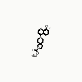 CC(C)(C)OC(=O)N1CCC2(CCN(c3ccnc4c(C(F)(F)F)cccc34)CC2)C1